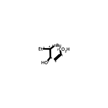 C=CC(=O)O.CCCCC(CC)CO